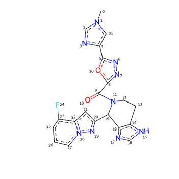 Cn1cnc(-c2nnc(C(=O)N3CCc4[nH]cnc4C3c3cc4c(F)cccn4n3)o2)c1